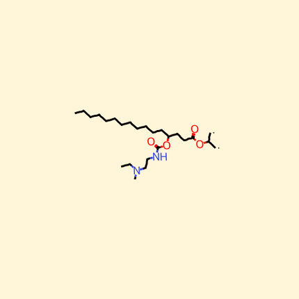 [CH2]C([CH2])OC(=O)CCC(CCCCCCCCCCCC)OC(=O)NCCN(C)CC